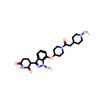 CN1CCC(CC(=O)N2CCC(Oc3cccc4c(C5CCC(=O)NC5=O)nn(C)c34)CC2)CC1